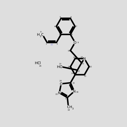 C/C=C\c1ccccc1OCC1C(O)C2(c3nc(C)no3)CCN1CC2.Cl